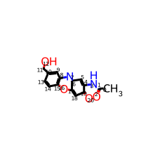 CC(=O)Nc1cc2nc3cc(CO)ccc3oc-2cc1=O